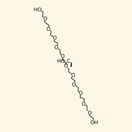 C=CC(=O)O.OCCOCCOCCOCCOCCOCCOCCOCCOCCOCCOCCOCCO